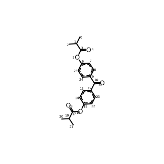 CC(C)C(=O)Oc1ccc(C(=O)c2ccc(OC(=O)C(C)C)cc2)cc1